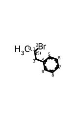 C[C@H](Br)Cc1ccccc1